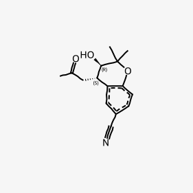 CC(=O)C[C@H]1c2cc(C#N)ccc2OC(C)(C)[C@@H]1O